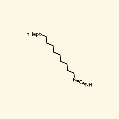 CCCCCCCCCCCCCCCCN=C=N